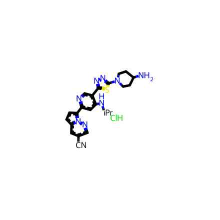 CC(C)Nc1cc(-c2ccc3cc(C#N)cnn23)ncc1-c1nnc(N2CCC(N)CC2)s1.Cl